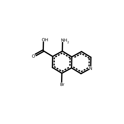 Nc1c(C(=O)O)cc(Br)c2cnccc12